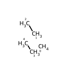 C.CC.CC